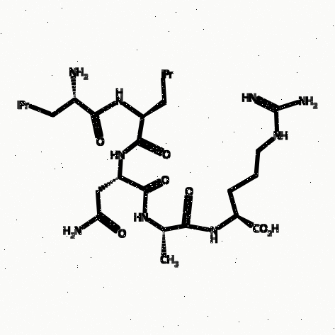 CC(C)C[C@H](NC(=O)[C@@H](N)CC(C)C)C(=O)N[C@@H](CC(N)=O)C(=O)N[C@@H](C)C(=O)N[C@@H](CCCNC(=N)N)C(=O)O